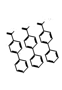 COC(=O)c1ccc(-c2ccccc2)cc1.COC(=O)c1ccc(-c2ccccc2)cc1.COC(=O)c1ccc(-c2ccccc2)cc1.P